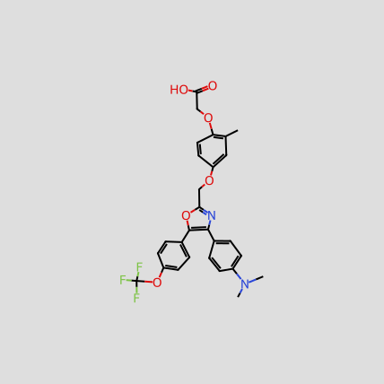 Cc1cc(OCc2nc(-c3ccc(N(C)C)cc3)c(-c3ccc(OC(F)(F)F)cc3)o2)ccc1OCC(=O)O